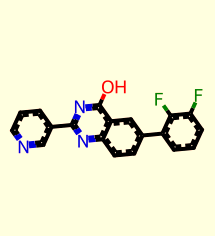 Oc1nc(-c2cccnc2)nc2ccc(-c3cccc(F)c3F)cc12